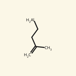 C=C(C)C[CH2][AlH2]